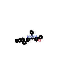 C1=C(c2ccc(-c3cccc4c3ccc3cc5ccccc5cc34)cc2)NC(c2ccccc2)NC1c1ccc2oc3ccccc3c2c1